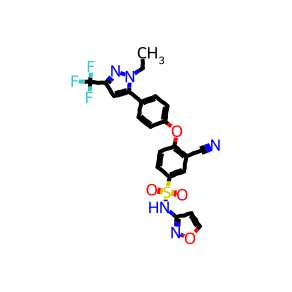 CCn1nc(C(F)(F)F)cc1-c1ccc(Oc2ccc(S(=O)(=O)Nc3ccon3)cc2C#N)cc1